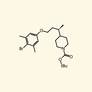 Cc1cc(OCC[C@@H](C)C2CCN(C(=O)OC(C)(C)C)CC2)cc(C)c1Br